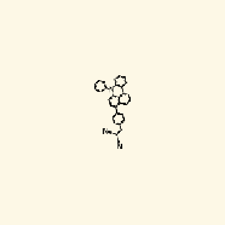 N#CC(C#N)=Cc1ccc(-c2ccc3c4c(cccc24)-c2ccccc2N3c2ccccc2)cc1